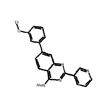 CCOc1cccc(-c2ccc3c(NC)nc(-c4cccnc4)nc3c2)c1